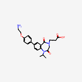 CC(C)N1C(=O)CN(CCC(=O)O)C(=O)c2cc(-c3ccc(OCCN)cc3)ccc21